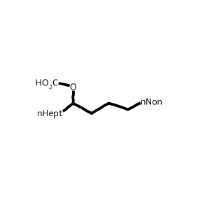 CCCCCCCCCCCCC(CCCCCCC)OC(=O)O